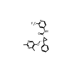 Cc1ncc(OC[C@@]2(c3ccccc3)C[C@H]2C(=O)Nc2ccnc(C(F)(F)F)c2)c(C)n1